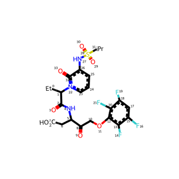 CCC(C(=O)NC(CC(=O)O)C(=O)COc1c(F)c(F)cc(F)c1F)n1cccc(NS(=O)(=O)C(C)C)c1=O